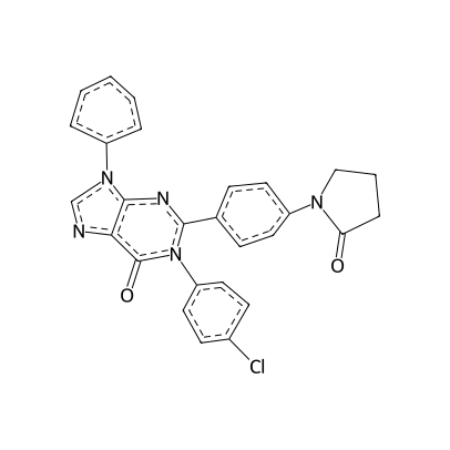 O=C1CCCN1c1ccc(-c2nc3c(ncn3-c3ccccc3)c(=O)n2-c2ccc(Cl)cc2)cc1